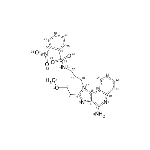 COCCc1nc2c(N)nc3ccccc3c2n1CCCNS(=O)(=O)c1ccccc1[N+](=O)[O-]